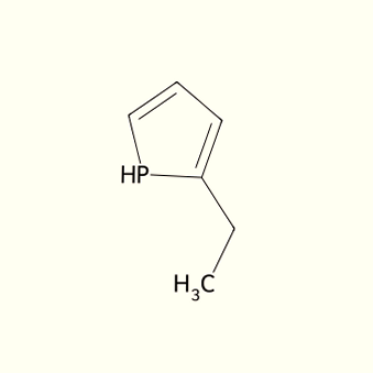 CCc1ccc[pH]1